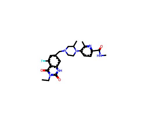 CCn1c(=O)[nH]c2cc(CN3CCN(c4ccc(C(=O)NC)nc4C)C(C)C3)cc(F)c2c1=O